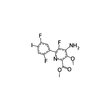 COC(=O)c1nc(-c2cc(F)c(I)cc2F)c(F)c(N)c1OC